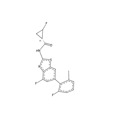 Cc1cccc(F)c1-c1cc(F)c2nc(NC(=O)[C@@H]3CC3F)sc2c1